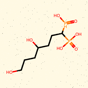 O=[PH](O)C(CCC(O)CCCO)P(=O)(O)O